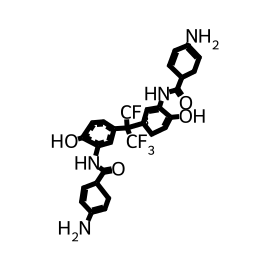 NC1=CCC(C(=O)NC2=CC(C(c3ccc(O)c(NC(=O)C4C=CC(N)=CC4)c3)(C(F)(F)F)C(F)(F)F)CC=C2O)C=C1